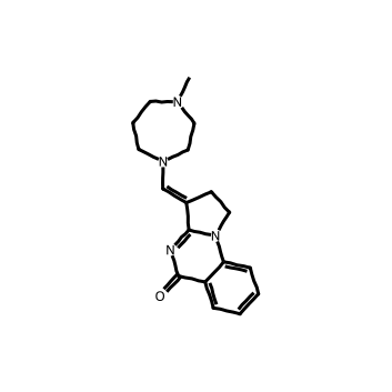 CN1CCCN(/C=C2\CCn3c2nc(=O)c2ccccc23)CC1